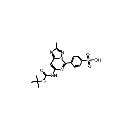 Cc1nc2cc(NC(=O)OC(C)(C)C)nc(-c3ccc(S(=O)(=O)O)cc3)n2n1